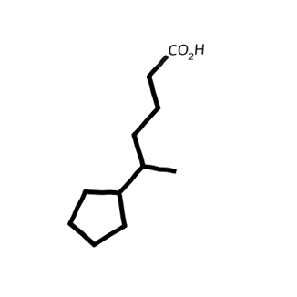 CC(CCCC(=O)O)C1CCCC1